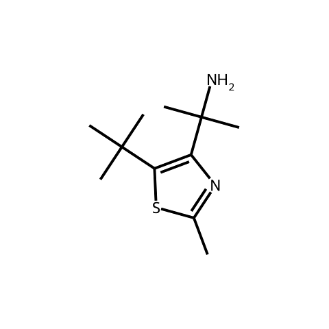 Cc1nc(C(C)(C)N)c(C(C)(C)C)s1